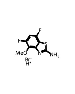 COc1c(F)cc(F)c2sc(N)nc12.[Br-].[H+]